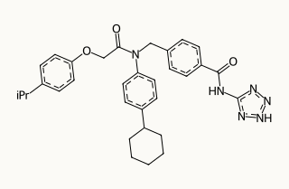 CC(C)c1ccc(OCC(=O)N(Cc2ccc(C(=O)Nc3nn[nH]n3)cc2)c2ccc(C3CCCCC3)cc2)cc1